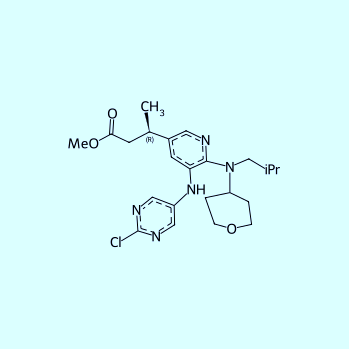 COC(=O)C[C@@H](C)c1cnc(N(CC(C)C)C2CCOCC2)c(Nc2cnc(Cl)nc2)c1